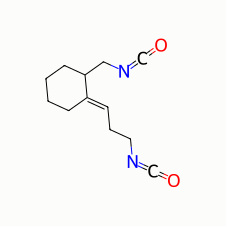 O=C=NCCC=C1CCCCC1CN=C=O